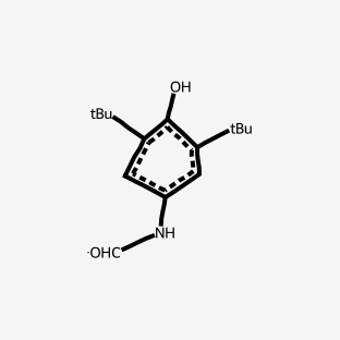 CC(C)(C)c1cc(N[C]=O)cc(C(C)(C)C)c1O